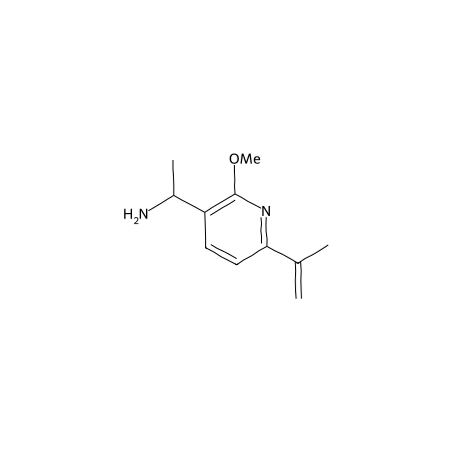 C=C(C)c1ccc(C(C)N)c(OC)n1